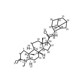 CN1C(=O)CC[C@]2(C)[C@H]3CC[C@]4(C)[C@@H](C(=O)NC5C6CC7CC(C6)CC5C7)CC[C@H]4[C@@H]3CC[C@@H]12